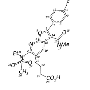 CCN(c1nc2oc(-c3ccc(F)cc3)c(C(=O)NC)c2cc1CCCC(=O)O)S(C)(=O)=O